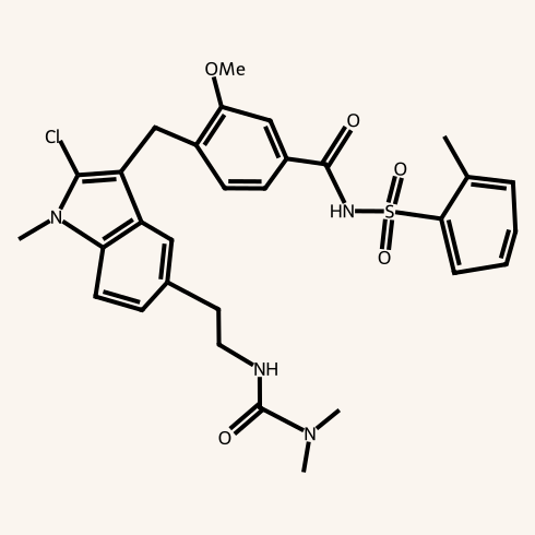 COc1cc(C(=O)NS(=O)(=O)c2ccccc2C)ccc1Cc1c(Cl)n(C)c2ccc(CCNC(=O)N(C)C)cc12